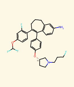 Nc1ccc2c(c1)CCCC(c1ccc(OC(F)F)cc1F)=C2c1ccc(O[C@H]2CCN(CCCF)C2)cc1